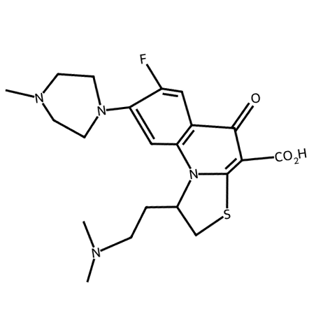 CN(C)CCC1CSc2c(C(=O)O)c(=O)c3cc(F)c(N4CCN(C)CC4)cc3n21